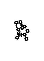 C1=C\c2ccc(-c3nc(-c4ccccc4)nc(-c4cc(-c5ccccc5)cc(-c5ccccc5)c4)n3)cc2-c2ccc3ccccc3c2Oc2ccccc2-c2ccccc2/1